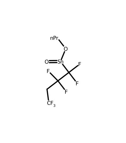 CCC[O][Sn](=[O])[C](F)(F)C(F)(F)CC(F)(F)F